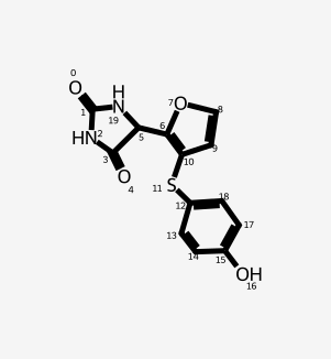 O=C1NC(=O)C(c2occc2Sc2ccc(O)cc2)N1